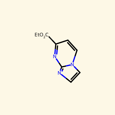 CCOC(=O)c1ccn2ccnc2n1